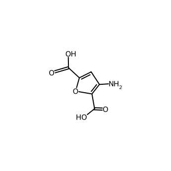 Nc1cc(C(=O)O)oc1C(=O)O